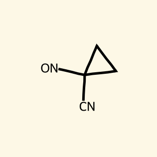 N#CC1(N=O)CC1